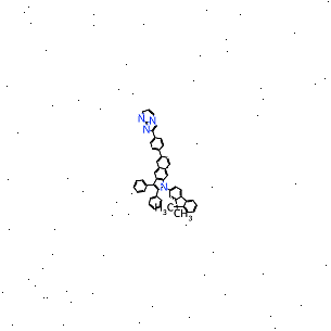 CC1(C)c2ccccc2-c2ccc(-n3c(-c4ccccc4)c(-c4ccccc4)c4cc5cc(-c6ccc(-c7cn8cccnc8n7)cc6)ccc5cc43)cc21